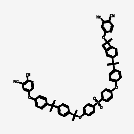 CC(C)(Oc1ccc(S(=O)(=O)c2ccc(Oc3ccc(C(C)(C)c4ccc5c(c4)CC5(C)Oc4ccc(C#N)c(C#N)c4)cc3)cc2)cc1)c1ccc(C(C)(C)c2ccc(Oc3ccc(C#N)c(C#N)c3)cc2)cc1